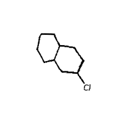 ClC1CCC2CCCCC2C1